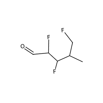 CC(CF)C(F)C(F)C=O